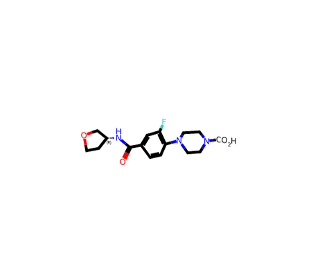 O=C(N[C@@H]1CCOC1)c1ccc(N2CCN(C(=O)O)CC2)c(F)c1